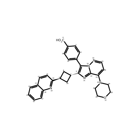 O=C(O)c1ccc(-c2c([C@H]3C[C@H](c4ccc5ccccc5n4)C3)nc3c(N4CCOCC4)ccnn23)cc1